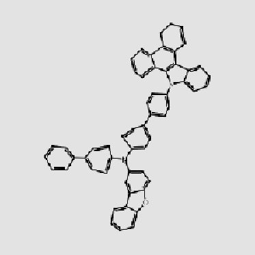 C1=Cc2c(c3ccccc3c3c2c2ccccc2n3-c2ccc(-c3ccc(N(c4ccc(-c5ccccc5)cc4)c4ccc5oc6ccccc6c5c4)cc3)cc2)CC1